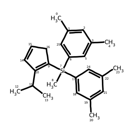 Cc1cc(C)cc([Si](C)(C2=C(C(C)C)C=CC2)c2cc(C)cc(C)c2)c1